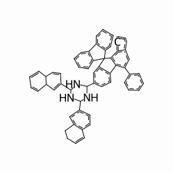 C1=CC2C=CC(C3NC(c4ccc5c(c4)CCC=C5)NC(c4ccc5c(c4)C4(c6ccccc6-c6ccccc64)c4c-5c(-c5ccccc5)cc5ccccc45)N3)=CC2C=C1